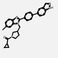 Cc1ccc2nc(-c3ccc(-c4ccc5[nH]ncc5c4)cc3)n(CC3CCN(C(=O)C4CC4)C3)c2c1